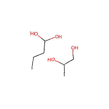 CC(O)CO.CCCC(O)O